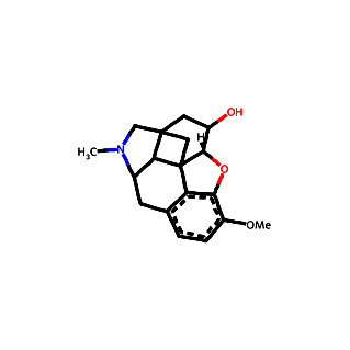 COc1ccc2c3c1O[C@H]1C(O)CC45CN(C)C(C2)C4C31C5